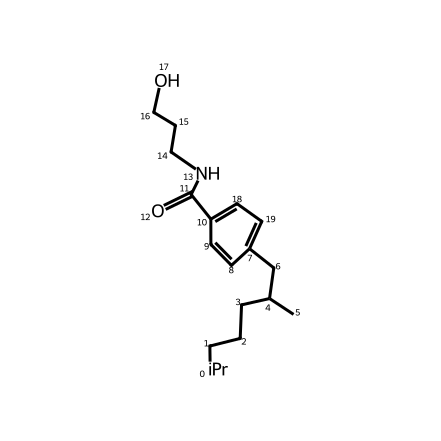 CC(C)CCCC(C)Cc1ccc(C(=O)NCCCO)cc1